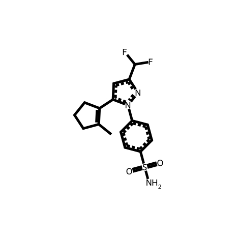 CC1=C(c2cc(C(F)F)nn2-c2ccc(S(N)(=O)=O)cc2)CCC1